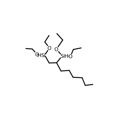 CCCCCCC(C[SiH](OCC)OCC)[SiH](OCC)OCC